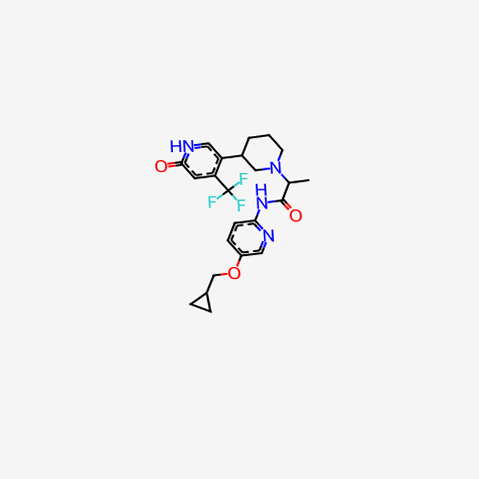 CC(C(=O)Nc1ccc(OCC2CC2)cn1)N1CCCC(c2c[nH]c(=O)cc2C(F)(F)F)C1